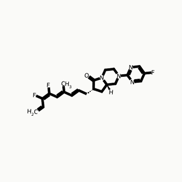 C=C\C(F)=C(F)/C=C(C)/C=C/C[C@H]1C[C@H]2CN(c3ncc(F)cn3)CCN2C1=O